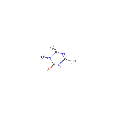 C=C1NC(C=O)=NC(=O)N1C